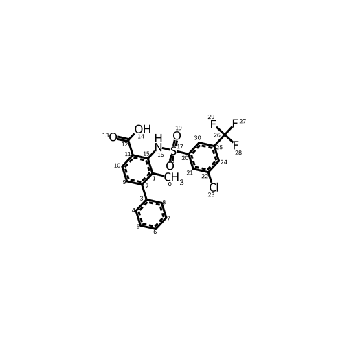 Cc1c(-c2ccccc2)ccc(C(=O)O)c1NS(=O)(=O)c1cc(Cl)cc(C(F)(F)F)c1